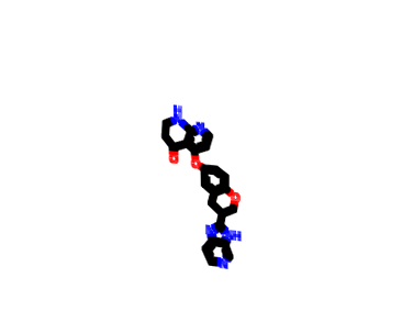 O=C1CCNc2nccc(Oc3ccc4c(c3)CC(c3nc5ccncc5[nH]3)CO4)c21